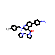 Nc1ccc(-c2ccc3nc(NCc4ccc(C(F)(F)F)cc4)cc(C(=O)N4CCC[C@H]4CN4CCCC4)c3c2)cc1